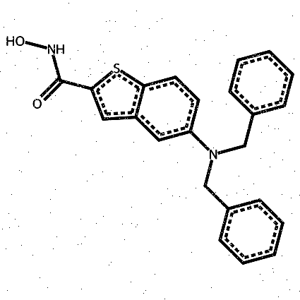 O=C(NO)c1cc2cc(N(Cc3ccccc3)Cc3ccccc3)ccc2s1